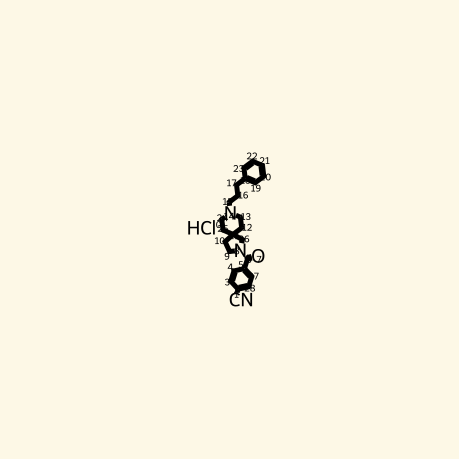 Cl.N#Cc1ccc(C(=O)N2CCC3(CCN(CCCc4ccccc4)CC3)C2)cc1